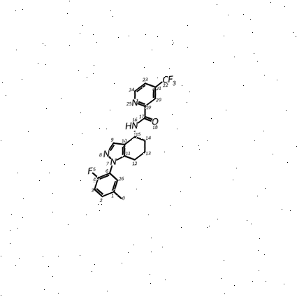 Cc1ccc(F)c(-n2ncc3c2CCC[C@H]3NC(=O)c2cc(C(F)(F)F)ccn2)c1